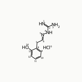 Cl.N=C(N)NN=CCc1ccccc1O